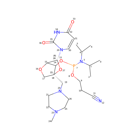 CC(C)N(C(C)C)P(OCCC#N)OC1C2OC[C@]1(CN1CCN(C)CC1)O[C@H]2n1ccc(=O)[nH]c1=O